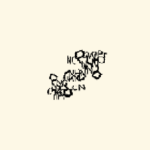 CCCn1c(=O)c2c(nc(N3CCCNCC3)n2Cc2ccccc2C#N)n(Cc2ccccc2)c1=O.CCCn1c(=O)c2c(nc(N3CCNCC3)n2Cc2ccccc2C#N)n(Cc2ccccc2)c1=O